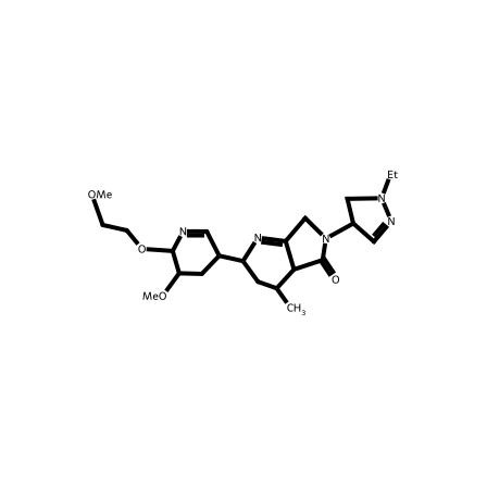 CCN1CC(N2CC3=NC(C4C=NC(OCCOC)C(OC)C4)CC(C)C3C2=O)C=N1